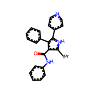 CC(C)c1[nH]c(-c2ccncc2)c(-c2ccccc2)c1C(=O)Nc1ccccc1